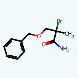 CC(Br)(COCc1ccccc1)C(N)=O